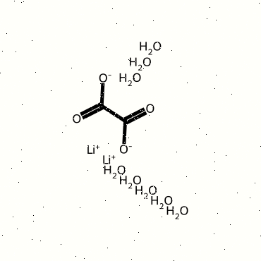 O.O.O.O.O.O.O.O.O=C([O-])C(=O)[O-].[Li+].[Li+]